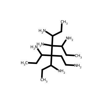 CCC(N)C(N)(C(N)CC)C(CCN)(C(N)CC)C(N)CC